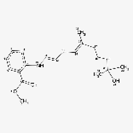 COC(=O)c1ccccc1N/C=C/C/C=C(\C)CCCC(C)(C)O